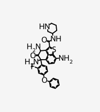 Nc1ccc2c3c(c(C(=O)NC4CCCNC4)sc13)C(N)C(=O)C2(N)c1ccc(Oc2ccccc2)cc1F